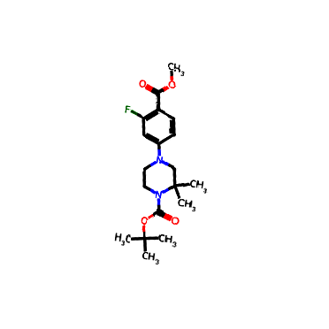 COC(=O)c1ccc(N2CCN(C(=O)OC(C)(C)C)C(C)(C)C2)cc1F